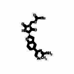 CC(=O)/C=C(\N=C(/C)N)c1ccc2oc([C@@H]3NC(=O)N(COC(=O)C(C)(C)C)C3=O)cc2c1